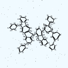 c1ccc(-c2cccc(-c3nc(-c4ccccc4)nc(-c4ccc(-n5c6ccc(-c7ccccc7)cc6c6cc7c(cc65)c5ccccc5n7-c5ccccc5)c5oc6ccccc6c45)n3)c2)cc1